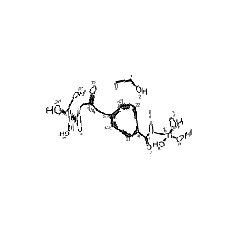 CCO.O=C([O][Ti]([OH])([OH])[OH])c1ccc(C(=O)[O][Ti]([OH])([OH])[OH])cc1